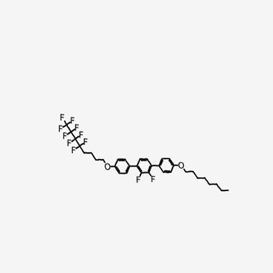 CCCCCCCCOc1ccc(-c2ccc(-c3ccc(OCCCCC(F)(F)C(F)(F)C(F)(F)C(F)(F)F)cc3)c(F)c2F)cc1